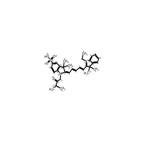 CC[N+]1=C(/C=C/C=C/C=C2/N(CC(=O)C(C)C)c3ccc(S(=O)(=O)O)cc3C2(C)C)C(C)(C)c2ccccc21